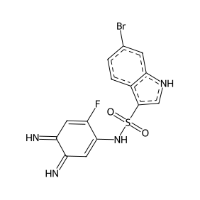 N=C1C=C(F)C(NS(=O)(=O)c2c[nH]c3cc(Br)ccc23)=CC1=N